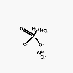 Cl.O=P([O-])([O-])O.[Al+3].[Cl-]